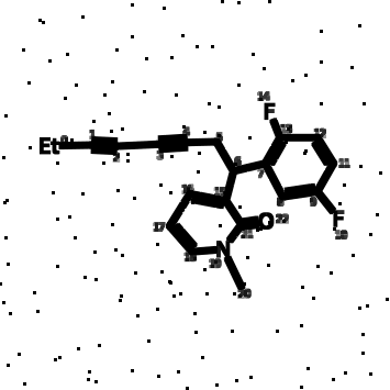 CCC#CC#CCC(c1cc(F)ccc1F)c1cccn(C)c1=O